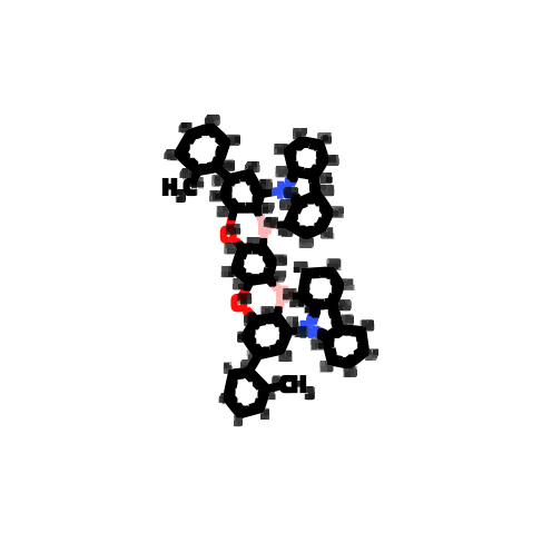 Cc1ccccc1-c1cc2c3c(c1)-n1c4ccccc4c4cccc(c41)B3c1cc3c(cc1O2)Oc1cc(-c2ccccc2C)cc2c1B3c1cccc3c4ccccc4n-2c13